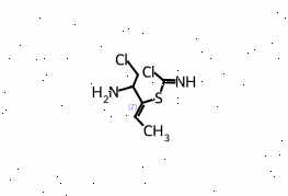 C/C=C(\SC(=N)Cl)C(N)CCl